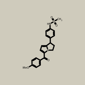 COc1ccc(C(=O)c2ccc3n2CCC3c2ccc(NS(C)(=O)=O)cc2)cc1